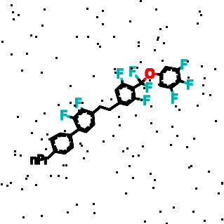 CCCc1ccc(-c2ccc(CCc3cc(F)c(C(F)(F)Oc4cc(F)c(F)c(F)c4)c(F)c3)c(F)c2F)cc1